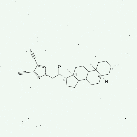 C#Cc1nn(CC(=O)[C@H]2CCC3C4CC[C@@H]5C[C@@H](C)CCC5(F)C4CC[C@@]32C)cc1C#N